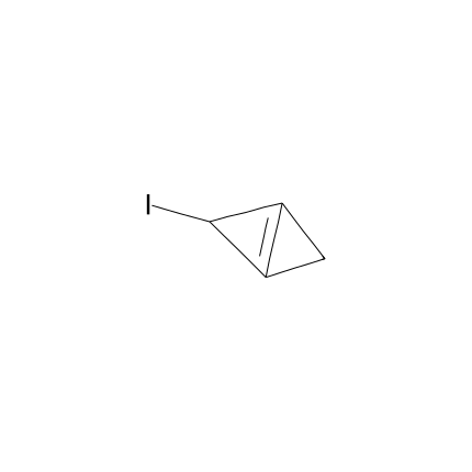 IC1C2=C1C2